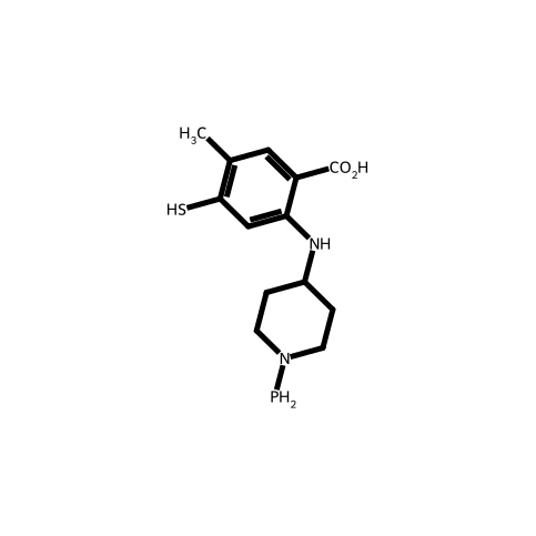 Cc1cc(C(=O)O)c(NC2CCN(P)CC2)cc1S